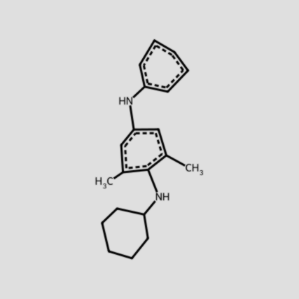 Cc1cc(Nc2ccccc2)cc(C)c1NC1CCCCC1